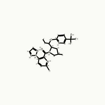 CCC(Oc1ccc(C(F)(F)F)cn1)C1CC(C)CN1C(=O)c1nc(C)ccc1-n1nccn1